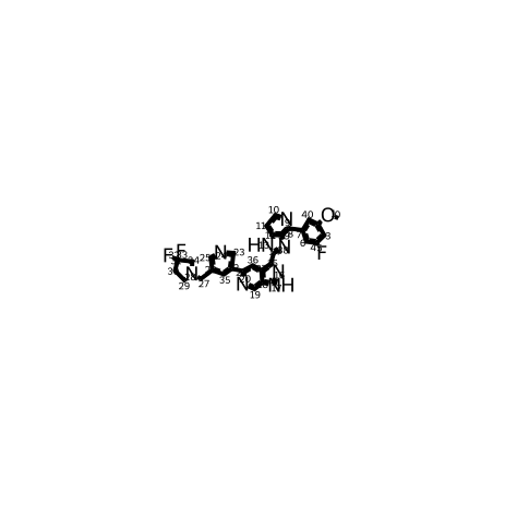 COc1cc(F)cc(-c2nccc3[nH]c(-c4n[nH]c5cnc(-c6cncc(CN7CCC(F)(F)C7)c6)cc45)nc23)c1